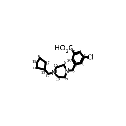 O=C(O)c1cc(Cl)cc(CN2CCN(CC3CCCC3)CC2)c1